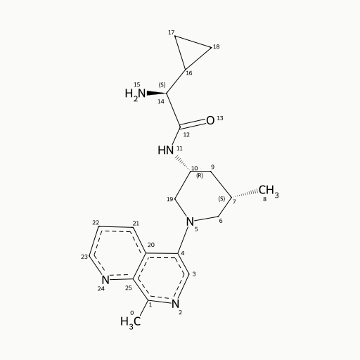 Cc1ncc(N2C[C@@H](C)C[C@@H](NC(=O)[C@@H](N)C3CC3)C2)c2cccnc12